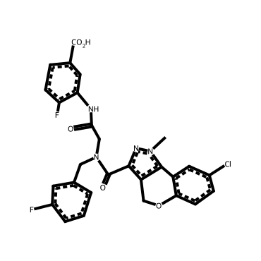 Cn1nc(C(=O)N(CC(=O)Nc2cc(C(=O)O)ccc2F)Cc2cccc(F)c2)c2c1-c1cc(Cl)ccc1OC2